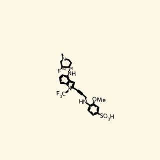 COc1cc(S(=O)(=O)O)ccc1NCC#Cc1cc2c(N[C@@H]3CCN(C)C[C@@H]3F)cccc2n1CC(F)(F)F